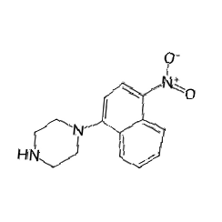 O=[N+]([O-])c1ccc(N2CCNCC2)c2ccccc12